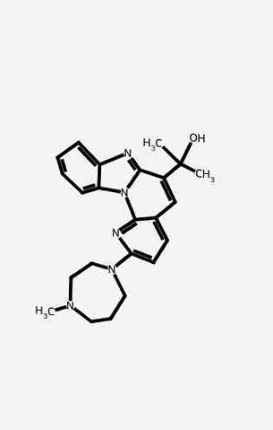 CN1CCCN(c2ccc3cc(C(C)(C)O)c4nc5ccccc5n4c3n2)CC1